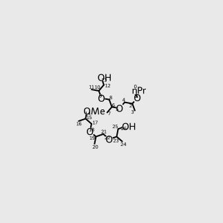 CCCOC(C)COC(C)COC(C)CO.COC(C)COC(C)COC(C)CO